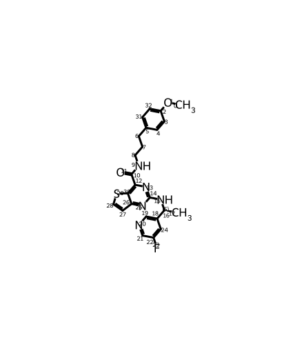 COc1ccc(CCCNC(=O)c2nc(N[C@@H](C)c3cncc(F)c3)nc3ccsc23)cc1